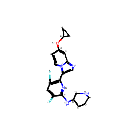 Fc1cc(F)c(-c2cnc3cc(OC4CC4)ccn23)nc1NC1CCCNC1